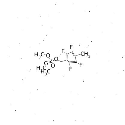 C[O][Zr]([O]C)([O]C)[O]Cc1c(F)c(F)c(C)c(F)c1F